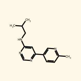 Cc1ccc(-c2cc(NCC(C)C)ncn2)cn1